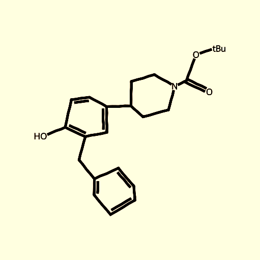 CC(C)(C)OC(=O)N1CCC(c2ccc(O)c(Cc3ccccc3)c2)CC1